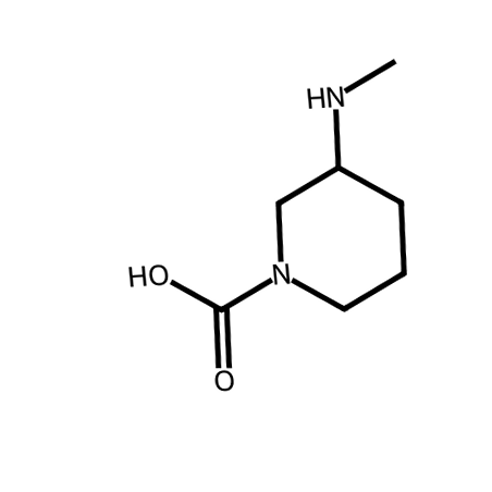 CNC1CCCN(C(=O)O)C1